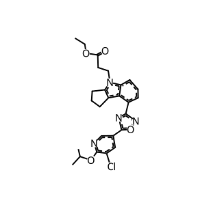 CCOC(=O)CCn1c2c(c3c(-c4noc(-c5cnc(OC(C)C)c(Cl)c5)n4)cccc31)CCC2